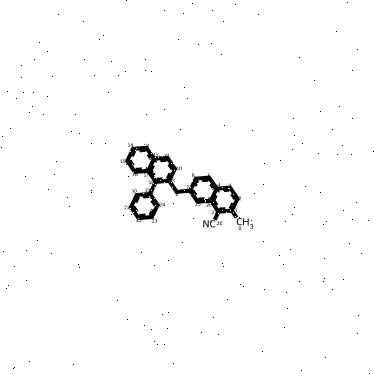 Cc1ccc2ccc(Cc3ccc4ccccc4c3-c3ccccc3)cc2c1C#N